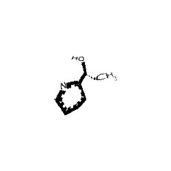 C[C@@H](O)c1ccccn1